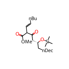 CCCCC=CC(C(=O)C[C@@H](CCCCCCCCCCC)O[Si](C)(C)C)C(=O)OC